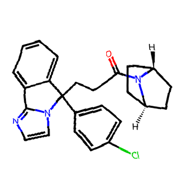 O=C(CCC1(c2ccc(Cl)cc2)c2ccccc2-c2nccn21)N1[C@H]2CC[C@H]1CC2